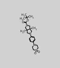 CC(C)(C)OC(=O)N1C[C@@]2(C)CN(c3ccc(N4CCS(=O)(=O)CC4)cc3)C[C@@]2(C)C1